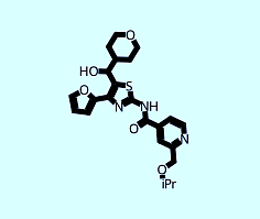 CC(C)OCc1cc(C(=O)Nc2nc(-c3ccco3)c(C(O)C3CCOCC3)s2)ccn1